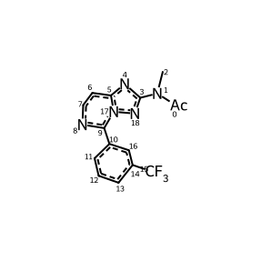 CC(=O)N(C)c1nc2ccnc(-c3cccc(C(F)(F)F)c3)n2n1